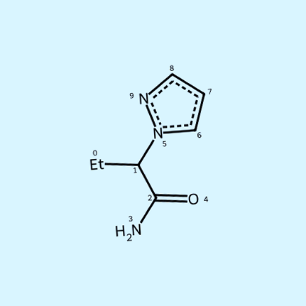 CCC(C(N)=O)n1cccn1